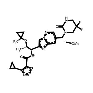 COC[C@H](c1cnn2cc([C@@H](NC(=O)c3nonc3C3CC3)[C@H](C)OC3(C(F)(F)F)CC3)nc2c1)N1CC(F)(F)CNC1=O